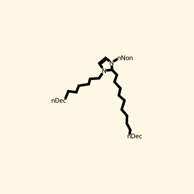 CCCCCCCCCCCCCCCCCCCC1N(CCCCCCCCC)C=CN1CCCCCCCCCCCCCCCC